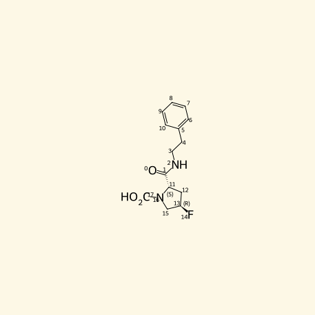 O=C(NCCc1ccccc1)[C@@H]1C[C@@H](F)CN1C(=O)O